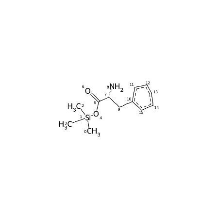 C[Si](C)(C)OC(=O)[C@H](N)Cc1ccccc1